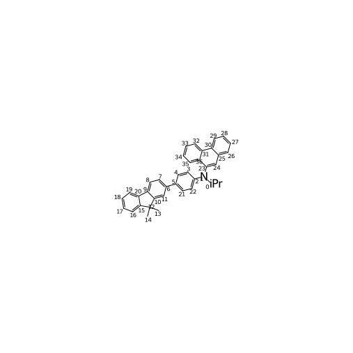 CC(C)N(c1ccc(-c2ccc3c(c2)C(C)(C)c2ccccc2-3)cc1)c1cc2ccccc2c2ccccc12